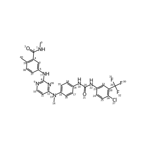 CNC(=O)c1cc(Nc2nccc(N(C)c3ccc(NC(=O)Nc4ccc(Cl)c(C(F)(F)F)c4)cc3)n2)ccc1C